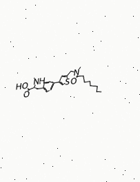 CCCCCCCC(=O)N(C)Cc1cc(-c2ccc(C[C@H](NC)C(=O)O)cc2)cs1